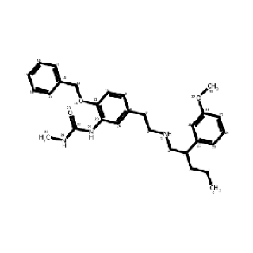 CCCC(CNCCc1ccc(OCc2ccccc2)c(NC(=O)NC)c1)c1cccc(OC)c1